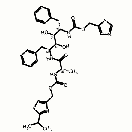 CC(C)c1nc(COC(=O)N[C@@H](C)C(=O)N[C@@H](Cc2ccccc2)[C@H](O)[C@@H](O)[C@H](Cc2ccccc2)NC(=O)OCc2cncs2)cs1